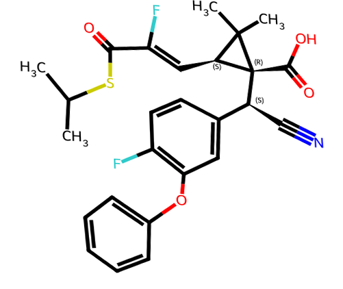 CC(C)SC(=O)C(F)=C[C@H]1C(C)(C)[C@]1(C(=O)O)[C@@H](C#N)c1ccc(F)c(Oc2ccccc2)c1